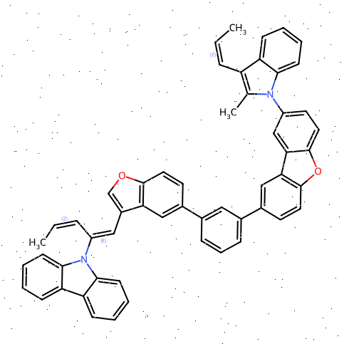 C/C=C\C(=C/c1coc2ccc(-c3cccc(-c4ccc5oc6ccc(-n7c(C)c(/C=C\C)c8ccccc87)cc6c5c4)c3)cc12)n1c2ccccc2c2ccccc21